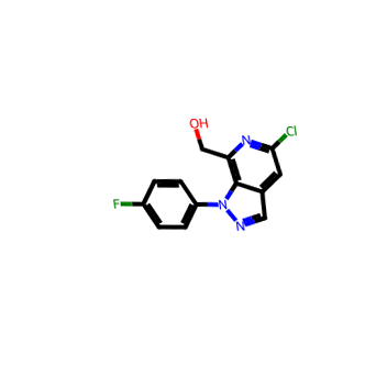 OCc1nc(Cl)cc2cnn(-c3ccc(F)cc3)c12